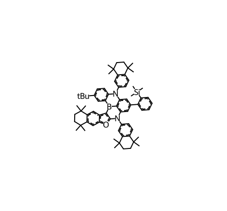 CC(C)(C)c1ccc2c(c1)B1c3c(cc(-c4ccccc4[Si](C)(C)C)cc3N(c3ccc4c(c3)C(C)(C)CCC4(C)C)c3oc4cc5c(cc4c31)C(C)(C)CCC5(C)C)N2c1ccc2c(c1)C(C)(C)CCC2(C)C